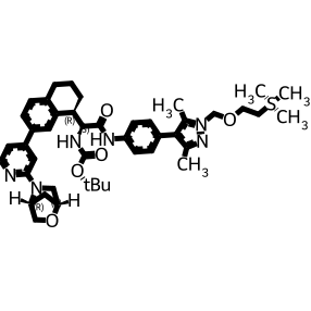 Cc1nn(COCCS(C)(C)C)c(C)c1-c1ccc(NC(=O)[C@@H](NC(=O)OC(C)(C)C)[C@@H]2CCCc3ccc(-c4ccnc(N5C[C@H]6C[C@@H]5CO6)c4)cc32)cc1